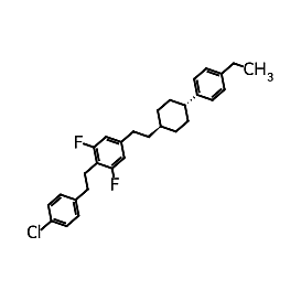 CCc1ccc([C@H]2CC[C@H](CCc3cc(F)c(CCc4ccc(Cl)cc4)c(F)c3)CC2)cc1